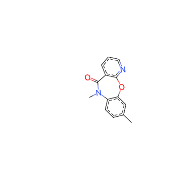 Cc1ccc2c(c1)Oc1ncccc1C(=O)N2C